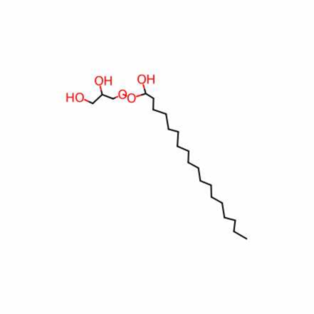 CCCCCCCCCCCCCCCCCC(O)OOCC(O)CO